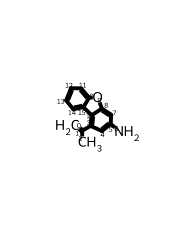 C=C(C)c1cc(N)cc2oc3ccccc3c12